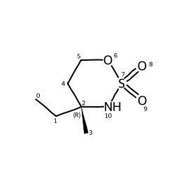 CC[C@]1(C)CCOS(=O)(=O)N1